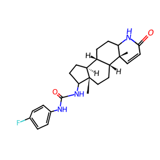 C[C@]12C=CC(=O)NC1CC[C@@H]1[C@H]2CC[C@]2(C)C(NC(=O)Nc3ccc(F)cc3)CC[C@@H]12